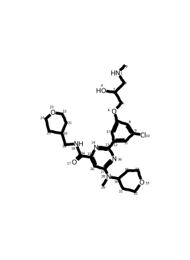 CNCC(O)COc1cc(Cl)cc(-c2nc(C(=O)NCC3CCOCC3)cc(N(C)C3CCOCC3)n2)c1